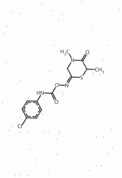 CC1SC(=NOC(=O)Nc2ccc(Cl)cc2)CN(C)C1=O